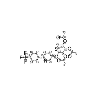 CC(=O)O[C@@H]1[C@@H](OC(C)=O)[C@@H](Oc2ccc(-c3ccc(C(F)(F)F)cc3)nc2)SC[C@H]1OC(C)=O